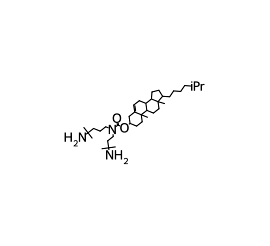 CC(C)CCCCC1CCC2C3CC=C4CC(OC(=O)N(CCCC(C)(C)N)CCC(C)(C)N)CCC4(C)C3CCC12C